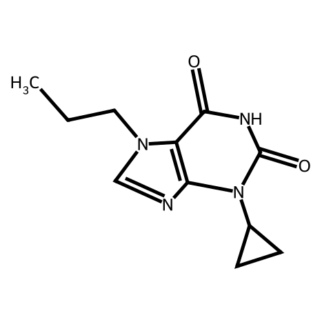 CCCn1cnc2c1c(=O)[nH]c(=O)n2C1CC1